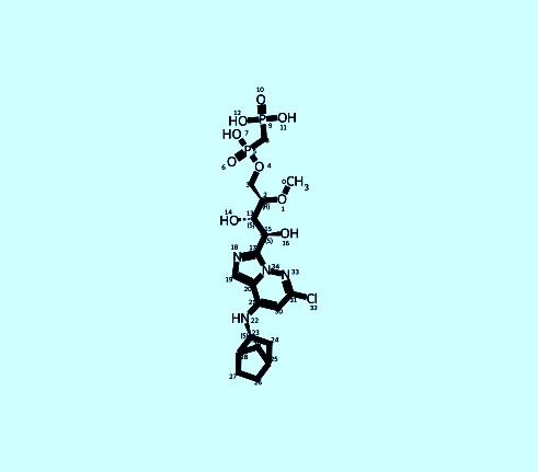 CO[C@H](COP(=O)(O)CP(=O)(O)O)[C@@H](O)[C@@H](O)c1ncc2c(N[C@H]3CC4CCC3C4)cc(Cl)nn12